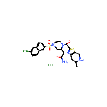 CC1Cc2nc(C(=O)N3CCN(S(=O)(=O)c4ccc5cc(Cl)ccc5c4)CC3CC(N)=O)sc2CN1.Cl